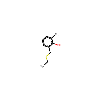 CCSCc1cccc(C)c1O